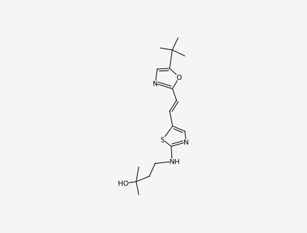 CC(C)(O)CCNc1ncc(C=Cc2ncc(C(C)(C)C)o2)s1